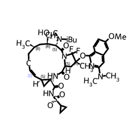 CCC(C)N(C(=O)O)[C@@H]1C(=O)N2[C@@H](C[C@@](C)(Oc3nc(N(C)C)cc4cc(OC)ccc34)C2(F)F)C(=O)N[C@]2(C(=O)NS(=O)(=O)C3CC3)C[C@H]2/C=C\CC[C@@H](C)C[C@H]1C